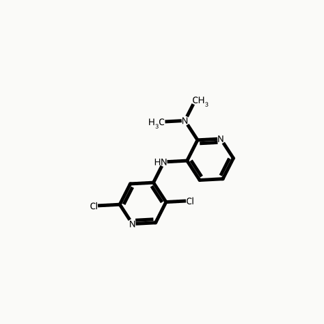 CN(C)c1ncccc1Nc1cc(Cl)ncc1Cl